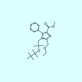 CCOCc1nc(C(=O)OC)c(-c2ccccc2)n1CC(C)(C)O[Si](C)(C)C(C)(C)C